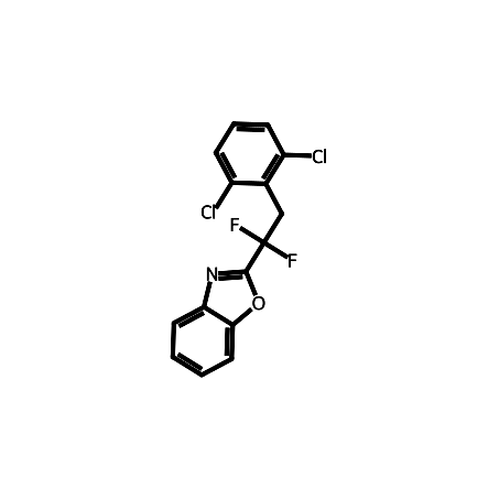 FC(F)(Cc1c(Cl)cccc1Cl)c1nc2ccccc2o1